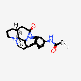 CC(=O)Nc1ccc2c3c4n(c2c1)C(=O)C[C@H]1CCCN(CC3)[C@@H]41